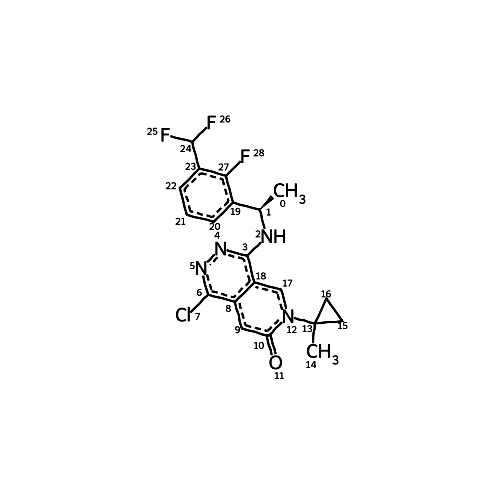 C[C@@H](Nc1nnc(Cl)c2cc(=O)n(C3(C)CC3)cc12)c1cccc(C(F)F)c1F